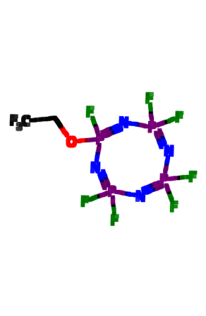 FC(F)(F)COP1(F)=NP(F)(F)=NP(F)(F)=NP(F)(F)=N1